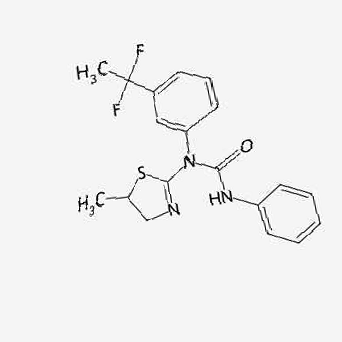 CC1CN=C(N(C(=O)Nc2ccccc2)c2cccc(C(C)(F)F)c2)S1